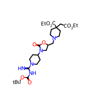 CCOC(=O)CC1(C(=O)OCC)CCN(CC2CN(C3CCN(C(=N)NC(=O)OC(C)(C)C)CC3)C(=O)O2)CC1